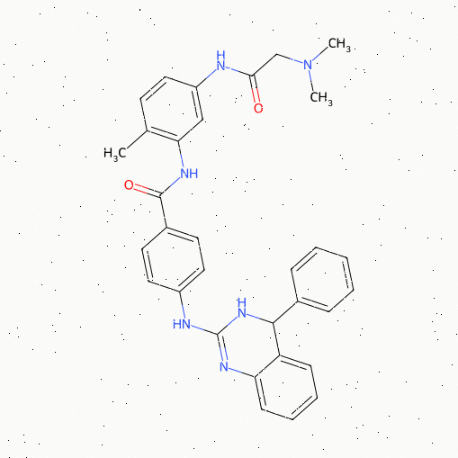 Cc1ccc(NC(=O)CN(C)C)cc1NC(=O)c1ccc(NC2=Nc3ccccc3C(c3ccccc3)N2)cc1